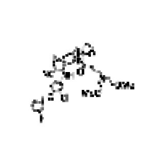 COCCN(C/C=C/C(=O)Nc1cc2c(Nc3ccc(OCc4cccc(F)c4)c(Cl)c3)c(C#N)cnc2cc1C[C@H]1CCOC1)CCOC